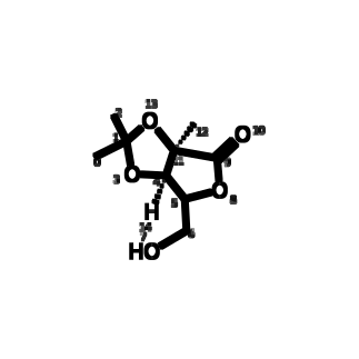 CC1(C)O[C@@H]2C(CO)OC(=O)[C@]2(C)O1